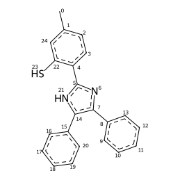 Cc1ccc(-c2nc(-c3ccccc3)c(-c3ccccc3)[nH]2)c(S)c1